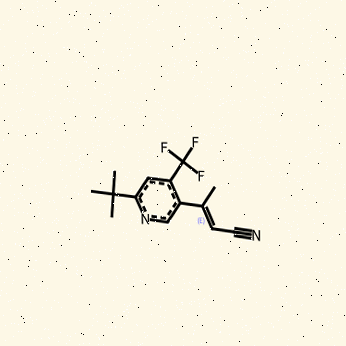 C/C(=C\C#N)c1cnc(C(C)(C)C)cc1C(F)(F)F